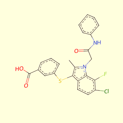 Cc1c(Sc2cccc(C(=O)O)c2)c2ccc(Cl)c(F)c2n1CC(=O)Nc1ccccc1